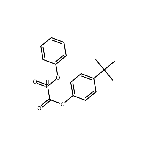 CC(C)(C)c1ccc(OC(=O)[PH](=O)Oc2ccccc2)cc1